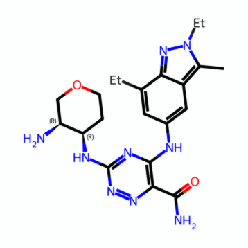 CCc1cc(Nc2nc(N[C@@H]3CCOC[C@@H]3N)nnc2C(N)=O)cc2c(C)n(CC)nc12